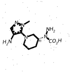 Cn1ncc(N)c1N1CCC[C@@H](N(N)C(=O)O)C1